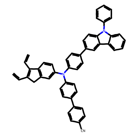 C=CC1=C(C=C)c2ccc(N(c3ccc(-c4ccc(C#N)cc4)cc3)c3ccc(-c4ccc5c(c4)c4ccccc4n5-c4ccccc4)cc3)cc2C1